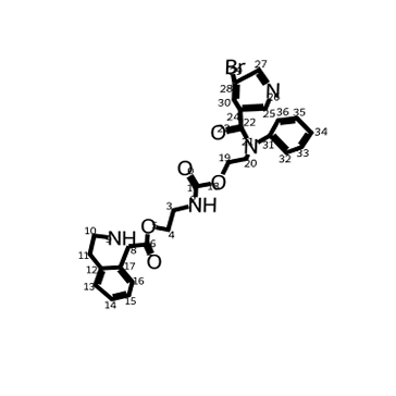 O=C(NCCOC(=O)C1NCCc2ccccc21)OCCN(C(=O)c1cncc(Br)c1)c1ccccc1